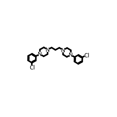 Clc1cccc(N2CCN(CCCN3CCN(c4cccc(Cl)c4)CC3)CC2)c1